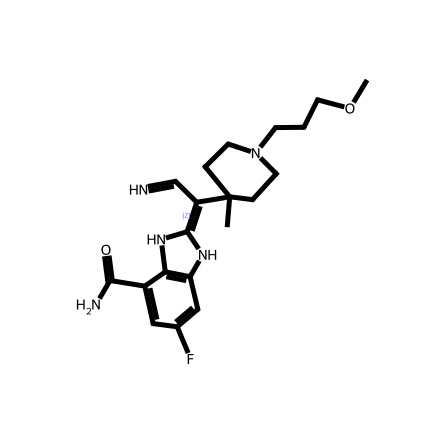 COCCCN1CCC(C)(/C(C=N)=C2\Nc3cc(F)cc(C(N)=O)c3N2)CC1